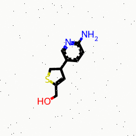 Nc1ccc(C2C=C(CO)SC2)cn1